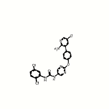 Nc1ncc(Cl)cc1-c1ccc(Oc2ncc(NC(=O)Nc3cc(Cl)ccc3Cl)cn2)cc1